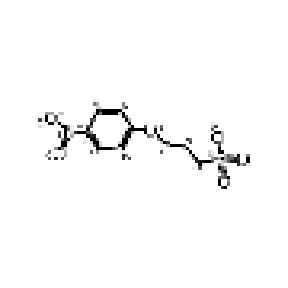 O=[N+]([O-])c1ccc(OCCCS(=O)(=O)Cl)cc1